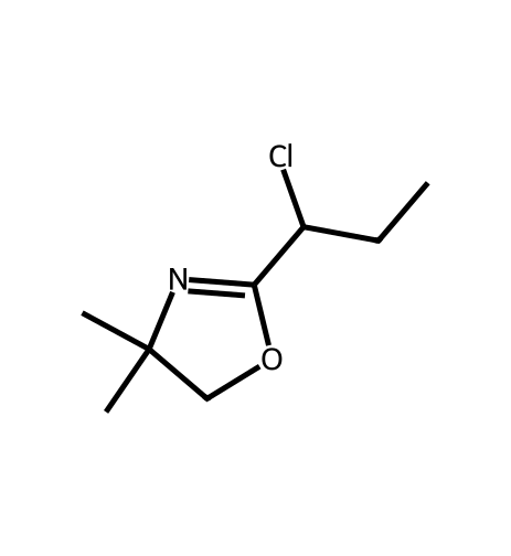 CCC(Cl)C1=NC(C)(C)CO1